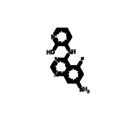 Nc1cc(F)c2c(Nc3cccnc3O)ncnc2c1